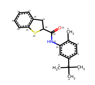 Cc1ccc(C(C)(C)C)cc1NC(=O)C1Cc2ccccc2S1